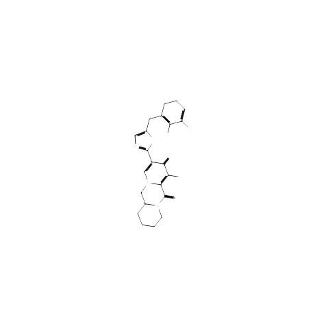 O=C1c2c(O)c(=O)c(-c3ncc(CC4=C(F)C(Cl)=CCC4)s3)cn2CC2CCCCN12